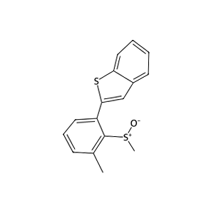 Cc1cccc(-c2cc3ccccc3s2)c1[S+](C)[O-]